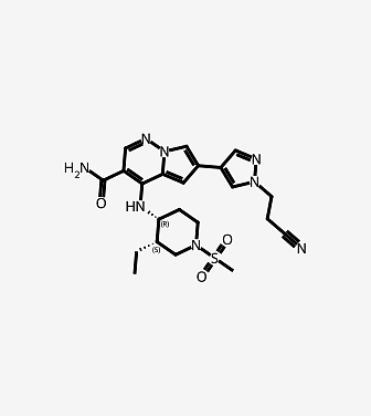 CC[C@H]1CN(S(C)(=O)=O)CC[C@H]1Nc1c(C(N)=O)cnn2cc(-c3cnn(CCC#N)c3)cc12